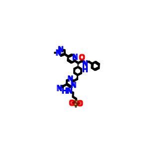 Cn1cc(-c2ccc(C(C(=O)NCc3ccccc3)[C@H]3CC[C@H](Cc4ncc(C#N)c(NCCCS(C)(=O)=O)n4)CC3)nc2)cn1